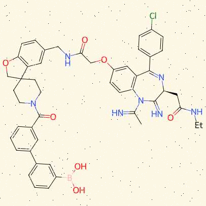 CCNC(=O)C[C@@H]1N=C(c2ccc(Cl)cc2)c2cc(OCC(=O)NCc3ccc4c(c3)C3(CCN(C(=O)c5cccc(-c6cccc(B(O)O)c6)c5)CC3)CO4)ccc2N(C(C)=N)C1=N